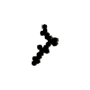 c1ccc(-c2ccc3c(c2)c2ccccc2n3-c2ccc3c(c2)oc2cc(-c4nc(-c5ccc(-c6ccc7c(c6)c6ccccc6n7-c6nc(-c7ccccc7)nc(-c7ccc8c(c7)oc7cc(-n9c%10ccccc%10c%10c(-c%11ccccc%11)cccc%109)ccc78)n6)cc5)nc(-n5c6ccccc6c6ccccc65)n4)ccc23)cc1